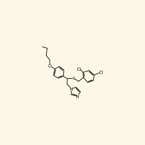 CCCCOc1ccc(C(Cn2ccnc2)SCc2ccc(Cl)cc2Cl)cc1